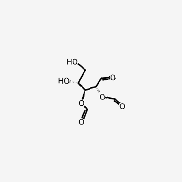 O=CO[C@@H]([C@H](O)CO)[C@H](C=O)OC=O